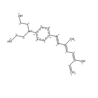 C=C\C(O)=C/C=C(C)/N=N/c1ccc(N(CCO)CCO)cc1